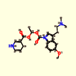 COc1ccc2c(c1)c(CCN(C)C)cn2C(=O)OC(C)OC(=O)C1=CNC=CC1